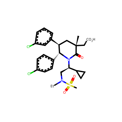 CCN(C[C@H](C1CC1)N1C(=O)[C@@](C)(CC(=O)O)C[C@H](c2cccc(Cl)c2)[C@H]1c1ccc(Cl)cc1)S(C)(=O)=O